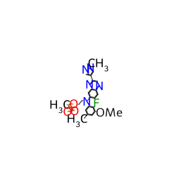 COc1cc(C)cc(N(CCOS(C)(=O)=O)c2ccc3ncc(-c4cnn(C)c4)nc3c2)c1F